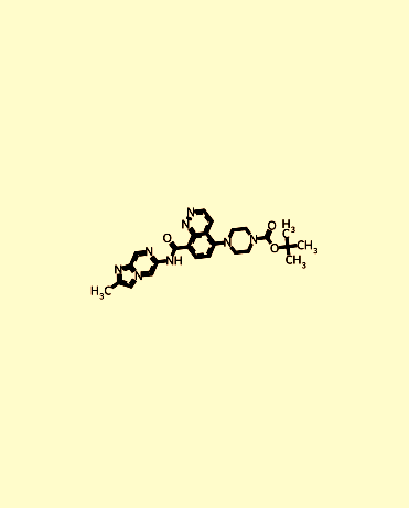 Cc1cn2cc(NC(=O)c3ccc(N4CCN(C(=O)OC(C)(C)C)CC4)c4ccnnc34)ncc2n1